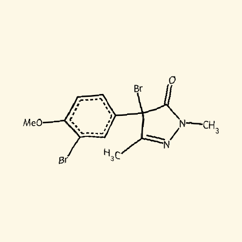 COc1ccc(C2(Br)C(=O)N(C)N=C2C)cc1Br